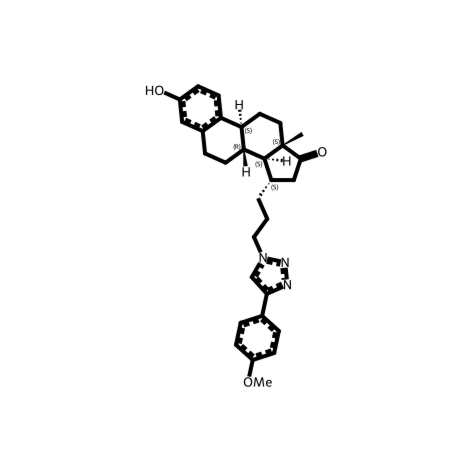 COc1ccc(-c2cn(CCC[C@H]3CC(=O)[C@@]4(C)CC[C@@H]5c6ccc(O)cc6CC[C@H]5[C@H]34)nn2)cc1